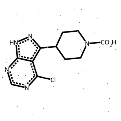 O=C(O)N1CCC(c2n[nH]c3ncnc(Cl)c23)CC1